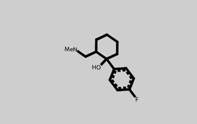 CNCC1CCCCC1(O)c1ccc(F)cc1